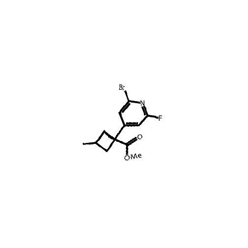 COC(=O)C1(c2cc(F)nc(Br)c2)CC(C)C1